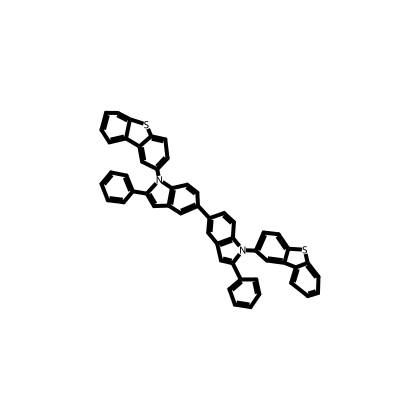 c1ccc(-c2cc3cc(-c4ccc5c(c4)cc(-c4ccccc4)n5-c4ccc5sc6ccccc6c5c4)ccc3n2-c2ccc3sc4ccccc4c3c2)cc1